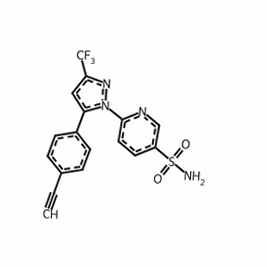 C#Cc1ccc(-c2cc(C(F)(F)F)nn2-c2ccc(S(N)(=O)=O)cn2)cc1